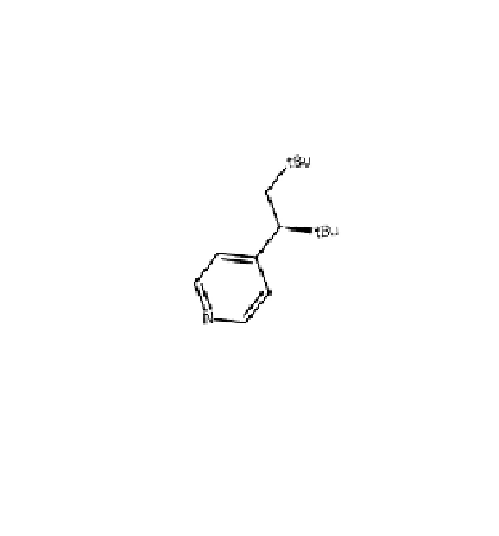 CC(C)(C)C[C@H](c1ccncc1)C(C)(C)C